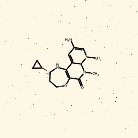 CN1C=C(N)C=C2C3=C(OCC[C@H](C4CC4)N3)C(=O)N(C)C21